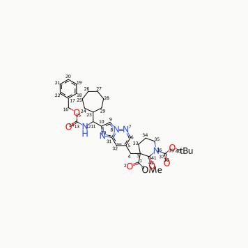 COC(=O)C1(Cc2cnn3cc(C(NC(=O)OCc4ccccc4)C4CCCCCC4)nc3c2)CCCN(C(=O)OC(C)(C)C)C1=O